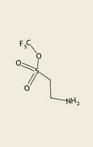 NCCS(=O)(=O)OC(F)(F)F